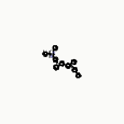 C/C(=N\C(=N/Cc1ccccc1)c1ccc(-n2c3ccccc3c3cc(-c4ccc5c(c4)c4ccccc4n5-c4ccc(-c5ccccc5)cc4)ccc32)cc1)c1ccccc1